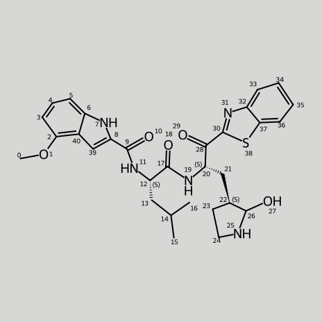 COc1cccc2[nH]c(C(=O)N[C@@H](CC(C)C)C(=O)N[C@@H](C[C@@H]3CCNC3O)C(=O)c3nc4ccccc4s3)cc12